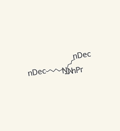 CCCCCCCCCCCCCCCCN1C=CN(CCC)C1CCCCCCCCCCCCCC